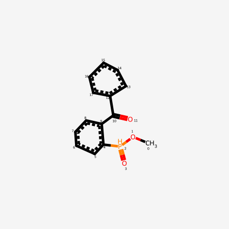 CO[PH](=O)c1ccccc1C(=O)c1ccccc1